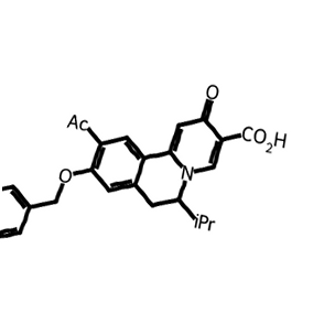 CC(=O)c1cc2c(cc1OCc1ccccc1)CC(C(C)C)n1cc(C(=O)O)c(=O)cc1-2